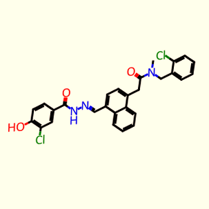 CN(Cc1ccccc1Cl)C(=O)Cc1ccc(/C=N/NC(=O)c2ccc(O)c(Cl)c2)c2ccccc12